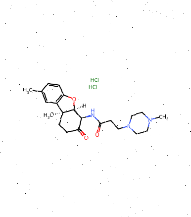 Cc1ccc2c(c1)[C@]1(C)CCC(=O)[C@H](NC(=O)CCN3CCN(C)CC3)[C@@H]1O2.Cl.Cl